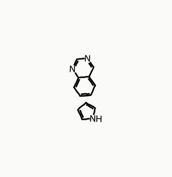 c1cc[nH]c1.c1ccc2ncncc2c1